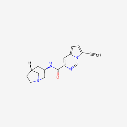 C#Cc1ccc2cc(C(=O)N[C@@H]3C[C@H]4CCN(C4)C3)ncn12